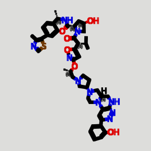 Cc1ncsc1-c1ccc([C@H](C)NC(=O)[C@@H]2C[C@@H](O)CN2C(=O)[C@@H](c2cc(O[C@@H](C)CN3CCC(N4CCN5c6cc(-c7ccccc7O)nnc6NC[C@H]5C4)C3)no2)C(C)C)cc1